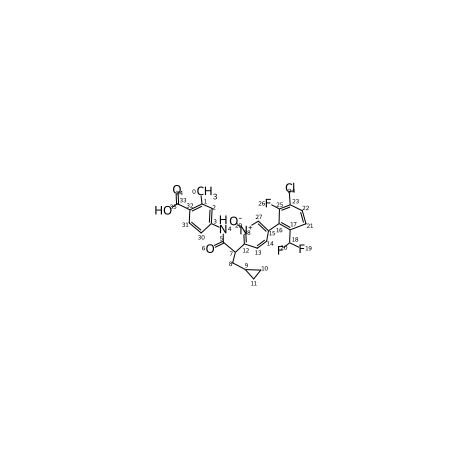 Cc1cc(NC(=O)C(CC2CC2)c2ccc(-c3c(C(F)F)ccc(Cl)c3F)c[n+]2[O-])ccc1C(=O)O